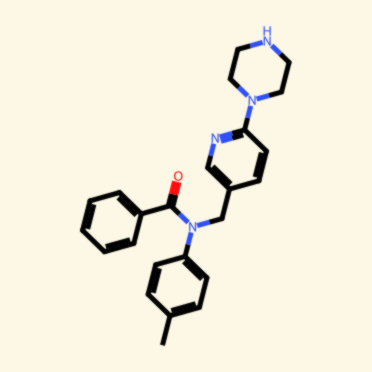 Cc1ccc(N(Cc2ccc(N3CCNCC3)nc2)C(=O)c2ccccc2)cc1